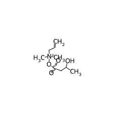 C=CC[N+](C)(C)OS(=O)(=O)CC(C)O